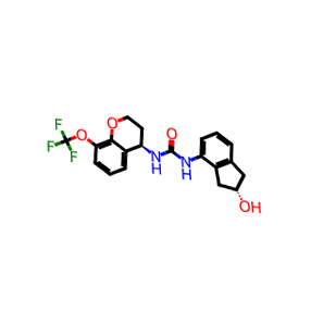 O=C(Nc1cccc2c1C[C@@H](O)C2)N[C@@H]1CCOc2c(OC(F)(F)F)cccc21